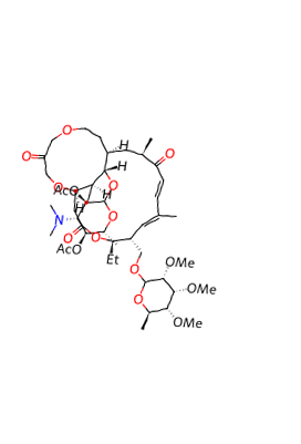 CC[C@H]1OC(=O)C[C@H]2OCC(=O)COCC[C@@H](C[C@@H](C)C(=O)/C=C/C(C)=C/[C@@H]1COC1O[C@H](C)[C@@H](OC)[C@@H](OC)[C@H]1OC)[C@H](OC1O[C@H](C)[C@@H](OC(C)=O)[C@H](N(C)C)[C@H]1OC(C)=O)[C@H]2C